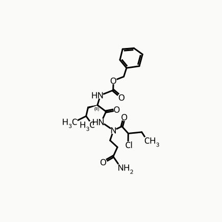 CCC(Cl)C(=O)N(CCC(N)=O)NC(=O)[C@@H](CC(C)C)NC(=O)OCc1ccccc1